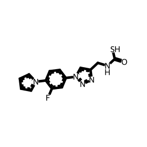 O=C(S)NCc1cn(-c2ccc(-n3cccc3)c(F)c2)nn1